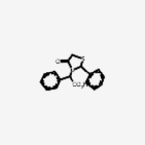 O=C(O)C(c1ccccc1)N1C(=O)CSC1c1ccccc1